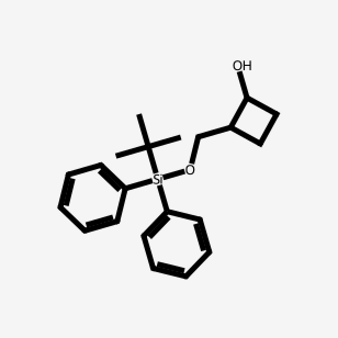 CC(C)(C)[Si](OCC1CCC1O)(c1ccccc1)c1ccccc1